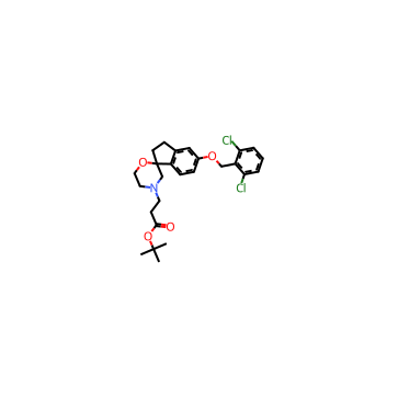 CC(C)(C)OC(=O)CCN1CCOC2(CCc3cc(OCc4c(Cl)cccc4Cl)ccc32)C1